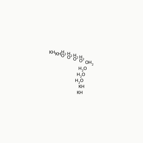 O.O.O.O.O.O.O.O.[KH].[KH].[KH].[KH]